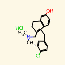 CN(C)CC1=C(Cc2ccc(Cl)cc2)c2ccc(O)cc2CC1.Cl